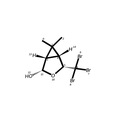 CC1(C)[C@@H]2[C@H]1[C@H](C(Br)(Br)Br)O[C@@H]2O